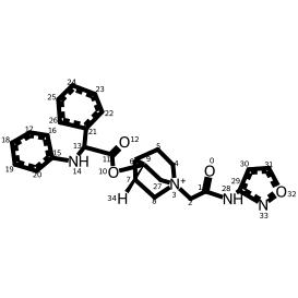 O=C(C[N+]12CCC(CC1)[C@@H](OC(=O)C(Nc1ccccc1)c1ccccc1)C2)Nc1ccon1